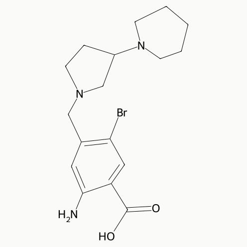 Nc1cc(CN2CCC(N3CCCCC3)C2)c(Br)cc1C(=O)O